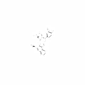 COc1c(C#N)cc2ccccc2c1COCC(c1ccc(C)c(F)c1)N1CCNCC1